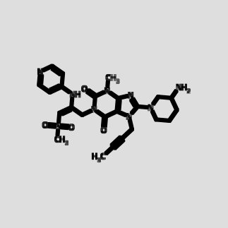 CC#CCn1c(N2CCCC(N)C2)nc2c1c(=O)n(C/C(=C\S(C)(=O)=O)Nc1ccncc1)c(=O)n2C